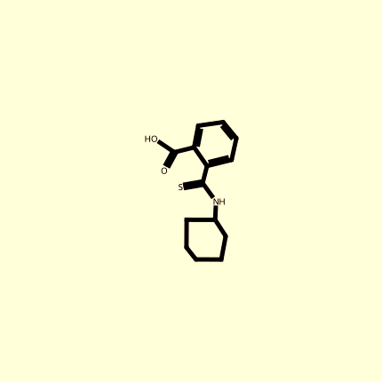 O=C(O)c1ccccc1C(=S)NC1CCCCC1